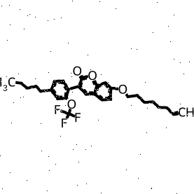 C=CCCCCCCOc1ccc2cc(-c3ccc(CCCCC)cc3OC(F)(F)F)c(=O)oc2c1